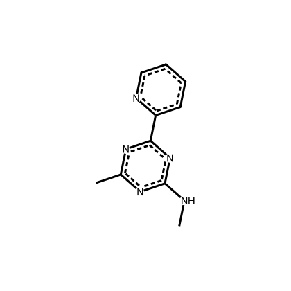 CNc1nc(C)nc(-c2ccccn2)n1